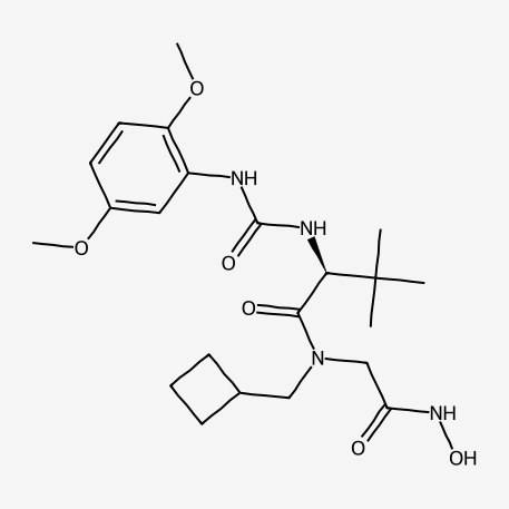 COc1ccc(OC)c(NC(=O)N[C@H](C(=O)N(CC(=O)NO)CC2CCC2)C(C)(C)C)c1